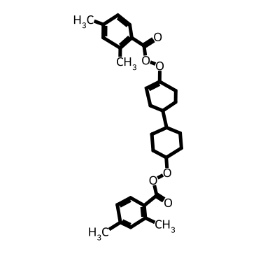 Cc1ccc(C(=O)OOC2=CCC(C3CCC(OOC(=O)c4ccc(C)cc4C)CC3)CC2)c(C)c1